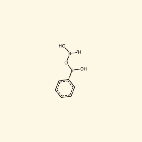 [2H]B(O)OB(O)c1ccccc1